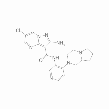 Nc1nn2cc(Cl)cnc2c1C(=O)Nc1cnccc1N1CCN2CCCC2C1